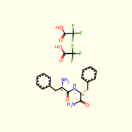 NC(=O)[C@@H](Cc1ccccc1)NC(=O)[C@H](N)Cc1ccccc1.O=C(O)C(F)(F)F.O=C(O)C(F)(F)F